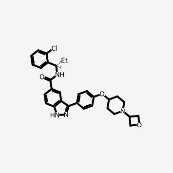 CC[C@H](NC(=O)c1ccc2[nH]nc(-c3ccc(OC4CCN(C5COC5)CC4)cc3)c2c1)c1ccccc1Cl